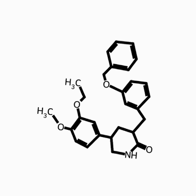 CCOc1cc(C2CNC(=O)C(Cc3cccc(OCc4ccccc4)c3)C2)ccc1OC